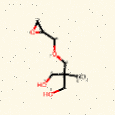 O=[N+]([O-])C(CO)(CO)COCC1CO1